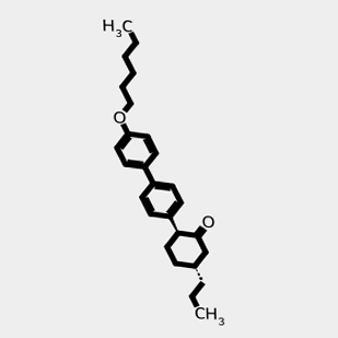 CCCCCCOc1ccc(-c2ccc([C@@H]3CC[C@@H](CCC)CC3=O)cc2)cc1